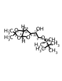 CC1(C)O[C@H]2OC([C@H](O)CO[Si](C)(C)C(C)(C)C)C[C@H]2O1